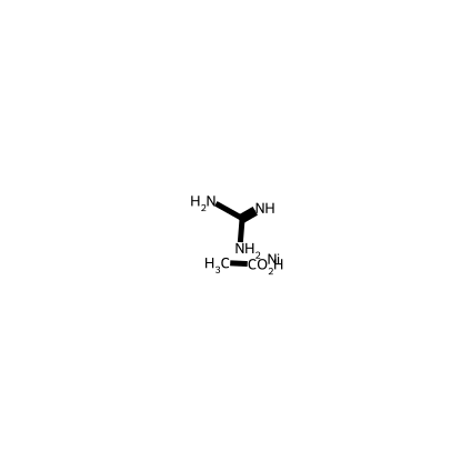 CC(=O)O.N=C(N)N.[Ni]